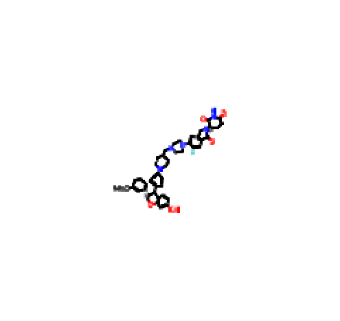 COc1cccc([C@H]2COc3cc(O)ccc3C2c2ccc(N3CCC(CN4CCN(c5cc6c(cc5F)C(=O)N([C@H]5CCC(=O)NC5=O)C6)CC4)CC3)cc2)c1